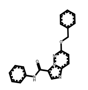 O=C(Nc1ccccc1)c1cnc2ccc(OCc3ccccc3)nn12